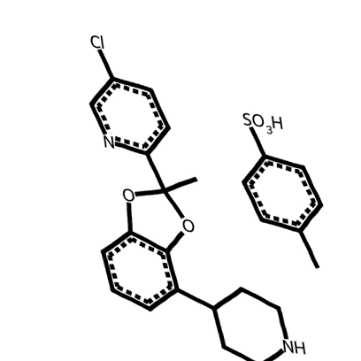 CC1(c2ccc(Cl)cn2)Oc2cccc(C3CCNCC3)c2O1.Cc1ccc(S(=O)(=O)O)cc1